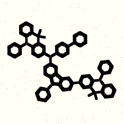 CC1(C)c2ccccc2N(c2ccccc2)c2ccc(-c3ccc4c(c3)c3cc(N(c5ccc(-c6ccccc6)cc5)c5ccc6c(c5)C(C)(C)c5ccccc5N6c5ccccc5)ccc3n4-c3ccccc3)cc21